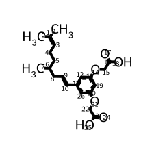 CC(C)=CCCC(C)C/C=C/c1cc(OCC(=O)O)cc(OCC(=O)O)c1